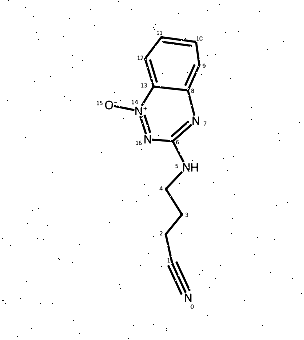 N#CCCCNc1nc2ccccc2[n+]([O-])n1